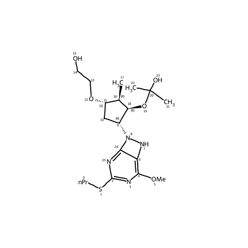 CCCSc1nc(OC)c2[nH]n([C@@H]3C[C@H](OCCO)[C@@H](C)[C@H]3OC(C)(C)O)c2n1